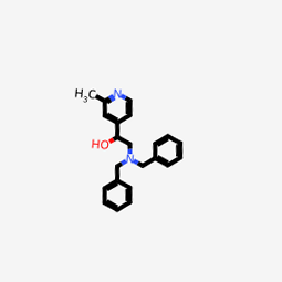 Cc1cc(C(O)CN(Cc2ccccc2)Cc2ccccc2)ccn1